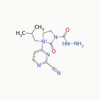 CC(C)C[N+]1(c2ccnc(C#N)n2)CCN(C(=O)NN)C1=O